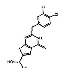 OC(O)c1cc2c(=S)[nH]c(Cc3ccc(Cl)c(Cl)c3)nc2s1